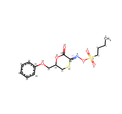 CCCCS(=O)(=O)O/N=C1\SCC(COc2ccccc2)OC1=O